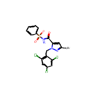 CC(C)(C)c1cc(C(=O)NS(=O)(=O)c2ccccc2)n(Cc2c(Cl)cc(Cl)cc2Cl)n1